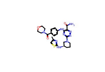 Cc1csc(N[C@@H]2CCCN(c3nnc(C(N)=O)c(Nc4ccc(C(=O)N5CCOCC5)cc4)n3)C2)n1